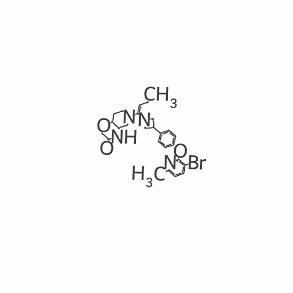 CC/C=C(\N1CC(c2ccc(Oc3nc(C)ccc3Br)cc2)C1)N1CCC2OCC(=O)NC2C1